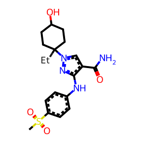 CCC1(n2cc(C(N)=O)c(Nc3ccc(S(C)(=O)=O)cc3)n2)CCC(O)CC1